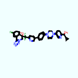 OC(c1ccc(N2CCN(c3ccc(-c4ccc(C(F)(F)[C@]5(O)Cn6nnnc6-c6cc(F)ccc65)nc4)cc3)CC2)cn1)C1CC1